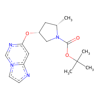 C[C@H]1C[C@@H](Oc2cc3nccn3cn2)CN1C(=O)OC(C)(C)C